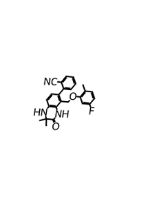 Cc1ccc(F)cc1OCc1c(-c2ccccc2C#N)ccc2c1NC(=O)C(C)(C)N2